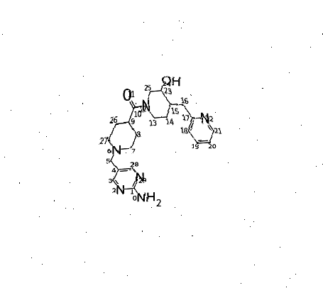 Nc1ncc(CN2CCC(C(=O)N3CCC(Cc4ccccn4)C(O)C3)CC2)cn1